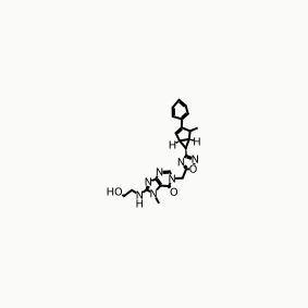 CC1C(c2ccccc2)=C[C@H]2[C@H](c3noc(Cn4cnc5nc(NCCO)n(C)c5c4=O)n3)[C@@H]12